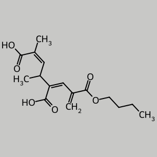 C=C(C=C(C(=O)O)C(C)C=C(C)C(=O)O)C(=O)OCCCC